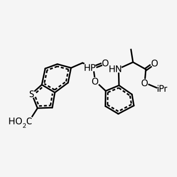 CC(C)OC(=O)C(C)Nc1ccccc1O[PH](=O)Cc1ccc2sc(C(=O)O)cc2c1